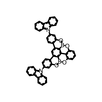 c1cc2c3c(c1)OB1Oc4cc(-n5c6ccccc6c6ccccc65)ccc4-c4cc5c(c-3c41)B(Oc1cc(-n3c4ccccc4c4ccccc43)ccc1-5)O2